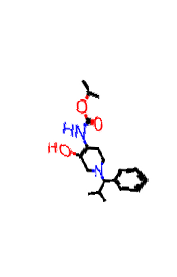 CC(C)OC(=O)NC1CCN(C(c2ccccc2)C(C)C)CC1O